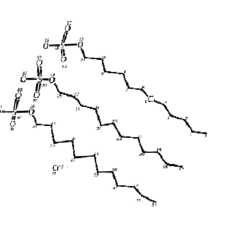 CCCCCCCCCCCCOS(=O)(=O)[O-].CCCCCCCCCCCCOS(=O)(=O)[O-].CCCCCCCCCCCCOS(=O)(=O)[O-].[Cr+3]